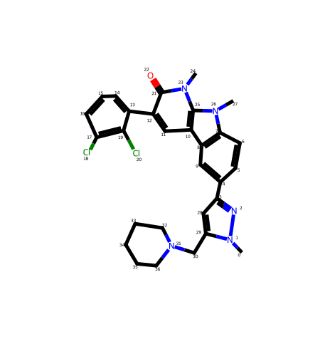 Cn1nc(-c2ccc3c(c2)c2cc(-c4cccc(Cl)c4Cl)c(=O)n(C)c2n3C)cc1CN1CCCCC1